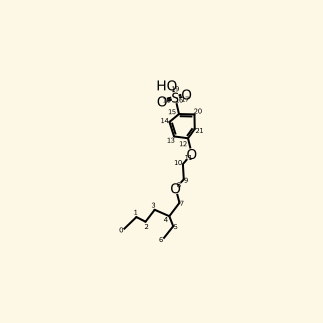 CCCCC(CC)COCCOc1ccc(S(=O)(=O)O)cc1